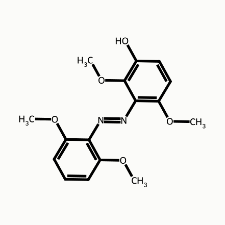 COc1cccc(OC)c1N=Nc1c(OC)ccc(O)c1OC